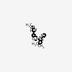 Cc1nc2ncc(-c3ccc4c(c3)CN(c3nc(-c5ccccn5)nc5c3CC(C)(C)CC5)CCO4)cc2[nH]1